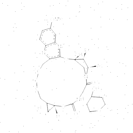 CC[C@@H]1[C@@H]2CN(C(=O)[C@H](C3(C)CCOCC3)NC(=O)O[C@@H]3C[C@H]3CCCCCc3nc4ccc(OC)cc4nc3O2)[C@@H]1C(C)=O